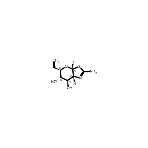 C=C[C@H]1O[C@@H]2SC(N)=N[C@@H]2[C@@H](O)[C@@H]1O